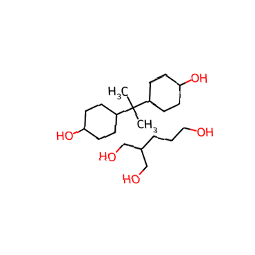 CC(C)(C1CCC(O)CC1)C1CCC(O)CC1.OCCCC(CO)CO